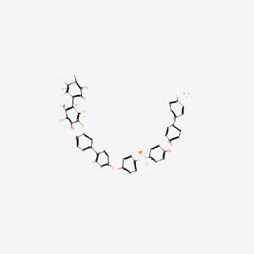 COc1ccc(-c2ccc(Oc3ccc(S(=O)(=O)c4ccc(Oc5ccc(-c6ccc(Oc7c(F)c(F)c(-c8c(F)c(F)c(C)c(F)c8F)c(F)c7F)cc6)cc5)cc4)cc3)cc2)cc1